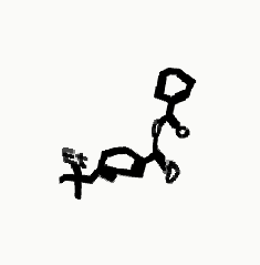 CCC(C)(C)c1ccc(C(=O)OC(=O)c2ccccc2)cc1